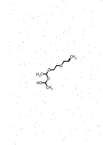 C=CCOCCOC(C)OC(C)O